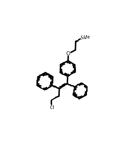 CSCCOc1ccc(/C(=C(/CCCl)c2ccccc2)c2ccccc2)cc1